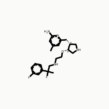 Cc1cc(N)nc(C[C@@H]2CNC[C@@H]2OCCNCC(C)(F)c2cccc(F)c2)c1